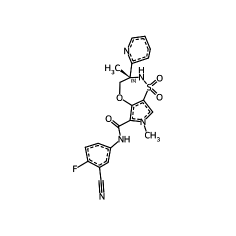 Cn1cc2c(c1C(=O)Nc1ccc(F)c(C#N)c1)OC[C@](C)(c1ccccn1)NS2(=O)=O